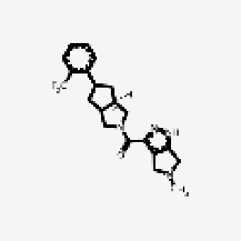 CN1Cc2[nH]nc(C(=O)N3CC4CC(c5ccccc5C(F)(F)F)C[C@H]4C3)c2C1